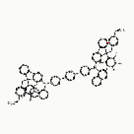 C=Cc1ccc(CC2(c3c(F)c(F)c(F)c(F)c3F)c3ccccc3-c3ccc(N(c4ccc(-c5ccc(-c6ccc(N(c7ccc8c(c7)C(Cc7ccc(C=C)cc7)(c7c(F)c(F)c(F)c(F)c7F)c7ccccc7-8)c7cccc8ccccc78)cc6)cc5)cc4)c4cccc5ccccc45)cc32)cc1